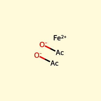 CC(=O)[O-].CC(=O)[O-].[Fe+2]